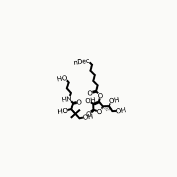 CC(C)(CO)C(O)C(=O)NCCCO.CCCCCCCCCCCCCCCC(=O)OC1=C(O)C(=O)O[C@@H]1[C@@H](O)CO